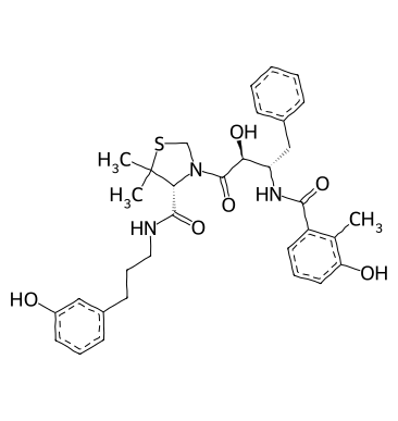 Cc1c(O)cccc1C(=O)N[C@@H](Cc1ccccc1)[C@H](O)C(=O)N1CSC(C)(C)[C@H]1C(=O)NCCCc1cccc(O)c1